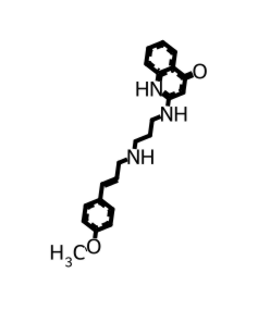 COc1ccc(C=CCNCCCNc2cc(=O)c3ccccc3[nH]2)cc1